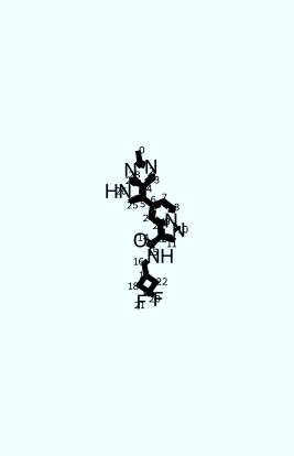 Cc1ncc2c(-c3ccn4ncc(C(=O)NCC5CC(F)(F)C5)c4c3)c[nH]c2n1